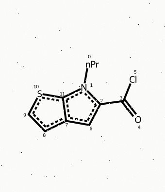 CCCn1c(C(=O)Cl)cc2ccsc21